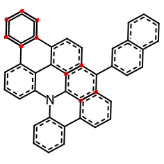 c1ccc(-c2ccccc2-c2c(-c3ccccc3)cccc2N(c2ccc(-c3ccc4ccccc4c3)cc2)c2ccccc2-c2ccccc2)cc1